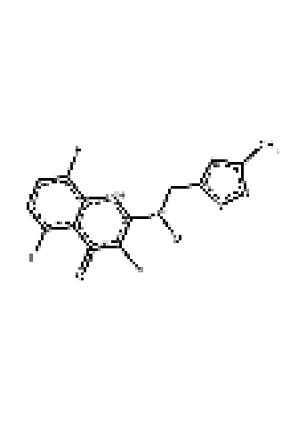 CC(=O)c1c([S+]([O-])Cc2cc(C)on2)[nH]c2c(F)ccc(F)c2c1=O